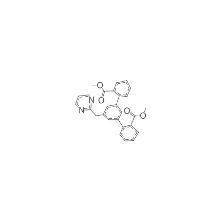 COC(=O)c1ccccc1-c1cc(Cc2ncccn2)cc(-c2ccccc2C(=O)OC)c1